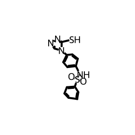 O=S(=O)(Nc1ccc(-n2cnnc2S)cc1)c1ccccc1